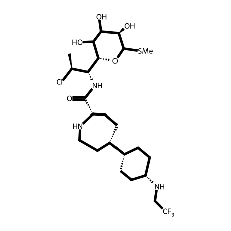 CSC1O[C@H]([C@H](NC(=O)[C@@H]2CC[C@H]([C@H]3CC[C@@H](NCC(F)(F)F)CC3)CCN2)[C@H](C)Cl)C(O)C(O)[C@H]1O